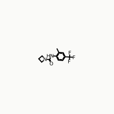 Cc1cc(C(F)(F)F)ccc1NC(=O)N1CCC1